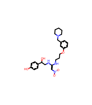 O=[N+]([O-])/C=C(\NCCCOc1cccc(CN2CCCCC2)c1)NCC(O)c1ccc(O)cc1